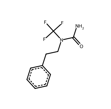 NC(=O)N(CCc1ccccc1)C(F)(F)F